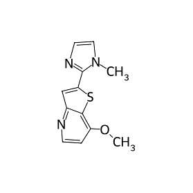 COc1ccnc2cc(-c3nccn3C)sc12